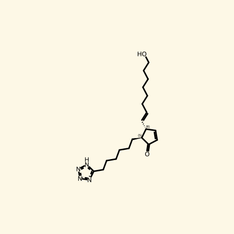 O=C1C=C[C@@H](C=CCCCCCCO)[C@@H]1CCCCCCc1nnn[nH]1